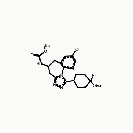 CCC1(OC)CCC(c2nnc3n2-c2ccc(Cl)cc2CC(NC(=O)OC(C)(C)C)C3)CC1